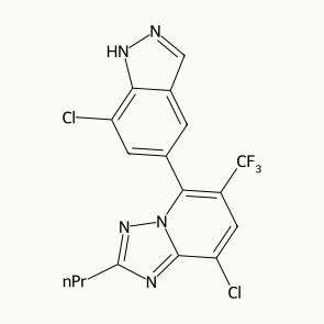 CCCc1nc2c(Cl)cc(C(F)(F)F)c(-c3cc(Cl)c4[nH]ncc4c3)n2n1